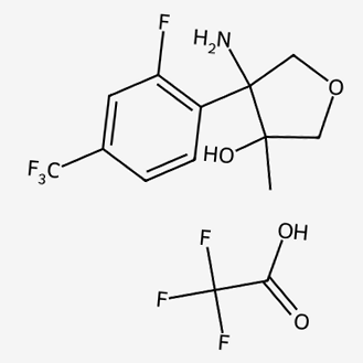 CC1(O)COCC1(N)c1ccc(C(F)(F)F)cc1F.O=C(O)C(F)(F)F